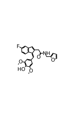 COc1cc(C=C2C(CC(=O)NCc3ccco3)=Cc3cc(F)ccc32)cc(OC)c1O